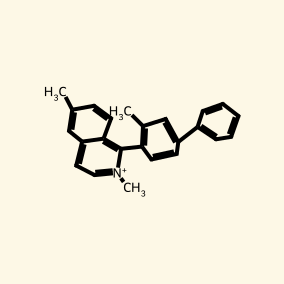 Cc1ccc2c(-c3ccc(-c4ccccc4)cc3C)[n+](C)ccc2c1